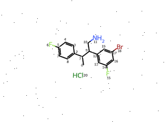 CC(c1ccc(F)cc1)C(CN)c1cc(F)cc(Br)c1.Cl